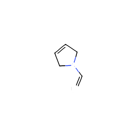 C=CN1CC=CC1